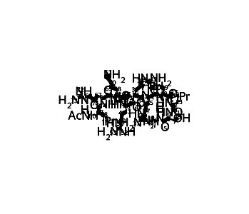 CC[C@H](C)[C@@H](C)NC(=O)[C@H](CO)NC(=O)[C@H](CC(C)C)NC(=O)[C@H](CC(C)C)NC(=O)[C@H](CCCNC(=N)N)NC(=O)[C@H](CCCNC(=N)N)NC(=O)[C@H](CCCNC(=N)N)NC(=O)[C@H](CCCCN)NC(=O)[C@H](CCCNC(=N)N)NC(=O)[C@H](CC(C)C)NC(C)=O